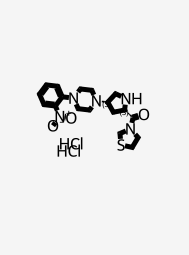 Cl.Cl.O=C([C@@H]1C[C@H](N2CCN(c3ccccc3[N+](=O)[O-])CC2)CN1)N1CCSC1